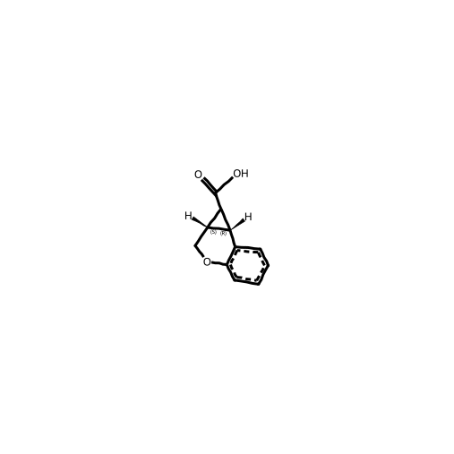 O=C(O)C1[C@H]2COc3ccccc3[C@@H]12